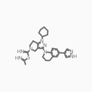 CC(=N)SC(=N)N1CCc2c(c(N3CCCc4cc(-c5cn[nH]c5)ccc43)nn2C2CCCCC2)C1